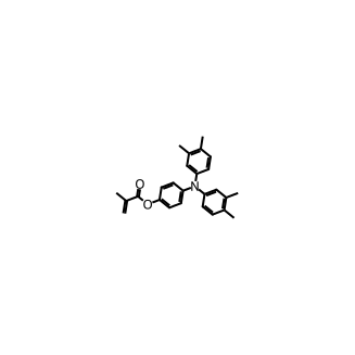 C=C(C)C(=O)Oc1ccc(N(c2ccc(C)c(C)c2)c2ccc(C)c(C)c2)cc1